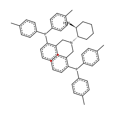 Cc1ccc(P(c2ccc(C)cc2)c2ccccc2CN(Cc2ccccc2P(c2ccc(C)cc2)c2ccc(C)cc2)[C@H]2CCCC[C@@H]2N)cc1